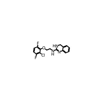 Fc1ccc(F)c(OCCNC2=Nc3ccccc3CN2)c1Cl